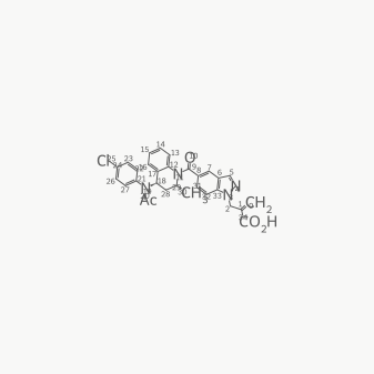 C=C(Cn1ncc2cc(C(=O)N3c4ccccc4[C@H](N(C(C)=O)c4ccc(Cl)cc4)C[C@@H]3C)ccc21)C(=O)O